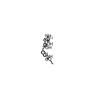 CCCCOC(=O)Nc1ccc2ccc(CC[C@@]3(C)C[C@@H](C4CC=C5C(N)=NC=NN54)[C@H](O)[C@@H]3O)cc2n1